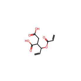 C=CC(=O)OC(C=C)C(CC(=O)O)C(=O)O